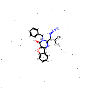 CC(C)[C@@H](N=[N+]=[N-])c1nc2c(oc3ccccc32)c(=O)n1Cc1ccccc1